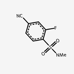 CNS(=O)(=O)c1ccc(C#N)cc1F